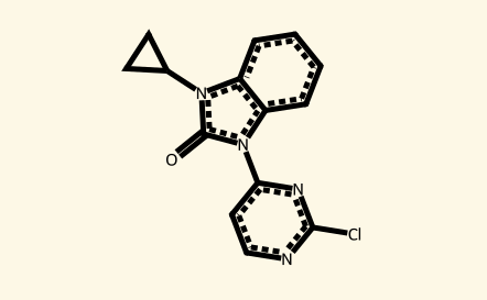 O=c1n(-c2ccnc(Cl)n2)c2ccccc2n1C1CC1